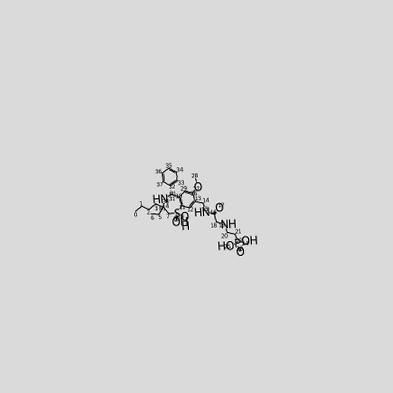 CCCC[C@]1(CC)CS(O)(O)c2cc(CNC(=O)CNCCP(=O)(O)O)c(OC)cc2[C@@H](c2ccccc2)N1